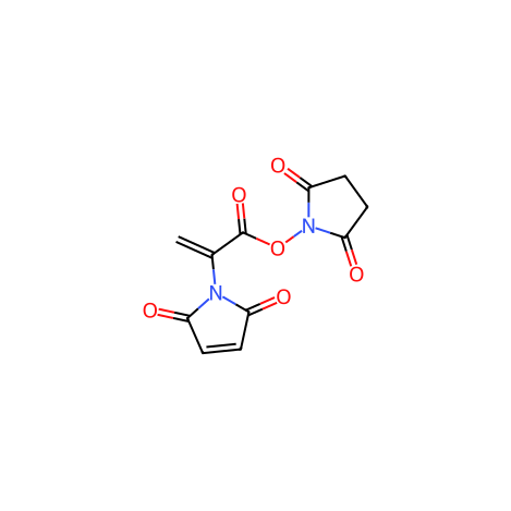 C=C(C(=O)ON1C(=O)CCC1=O)N1C(=O)C=CC1=O